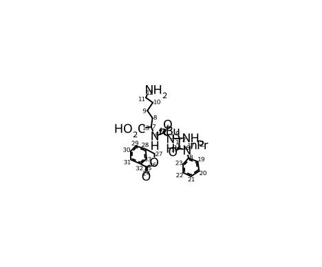 CCCCC(N)(NC(=O)NC(CCCCN)C(=O)O)C(=O)N(CCC)c1ccccc1.O=C1OCc2cccc1c2